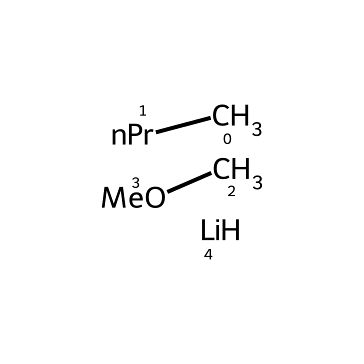 CCCC.COC.[LiH]